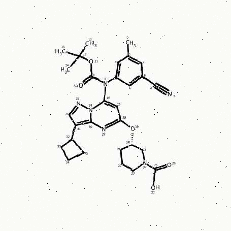 Cc1cc(C#N)cc(N(C(=O)OC(C)(C)C)c2cc(O[C@H]3CCCN(C(=O)O)C3)nc3c(C4CCC4)cnn23)c1